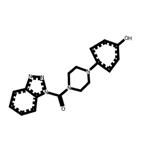 O=C(N1CCN(c2ccc(O)cc2)CC1)n1nnc2ccccc21